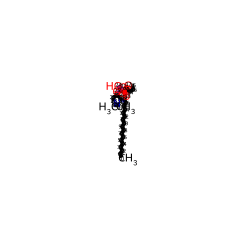 CCCCCCCCCCCCCCCCCCOCC1(OP(=O)(O)OC2CC[N+](C)(C)CC2)CCCO1